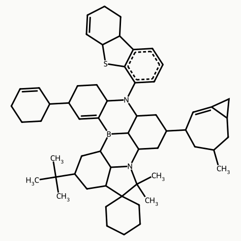 CC1CC2CC2=CC(C2CC3C4B(C5=CC(C6C=CCCC6)CCC5N3c3cccc5c3SC3C=CCCC53)C3CC(C(C)(C)C)CC5C3N(C4C2)C(C)(C)C52CCCCC2)C1